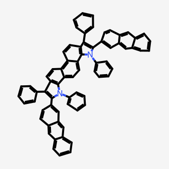 c1ccc(-c2c(-c3ccc4cc5ccccc5cc4c3)n(-c3ccccc3)c3c2ccc2c4ccc5c(-c6ccccc6)c(-c6ccc7cc8ccccc8cc7c6)n(-c6ccccc6)c5c4ccc23)cc1